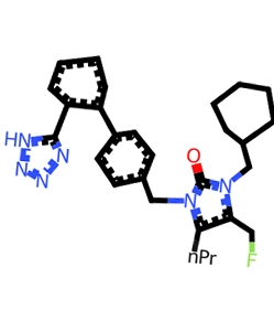 CCCc1c(CF)n(CC2CCCCC2)c(=O)n1Cc1ccc(-c2ccccc2-c2nnn[nH]2)cc1